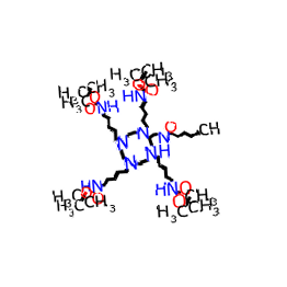 C#CCCCC(=O)NCC1CN(CCCCCNC(=O)OC(C)(C)C)CCN(CCCCCNC(=O)OC(C)(C)C)CCN(CCCCCNC(=O)OC(C)(C)C)CCN1CCCCCNC(=O)OC(C)(C)C